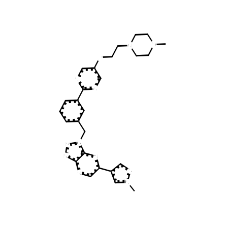 CN1CCN(CCOc2cnc(-c3cccc(Cn4nnc5ncc(-c6cnn(C)c6)nc54)c3)nc2)CC1